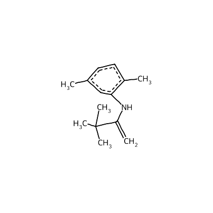 C=C(Nc1cc(C)ccc1C)C(C)(C)C